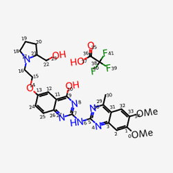 COc1cc2nc(Nc3nc(O)c4cc(OCCN5CCCC5CO)ccc4n3)nc(C)c2cc1OC.O=C(O)C(F)(F)F